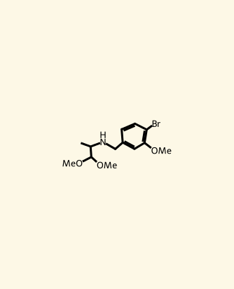 COc1cc(CNC(C)C(OC)OC)ccc1Br